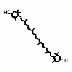 CC1=CC(O)CC(C)(C)[C@H]1/C=C/C(C)=C/C=C/C(C)=C/C=C/C=C(C)/C=C/C=C(C)/C=C/C1=C(C)C[C@@H](O)CC1(C)C